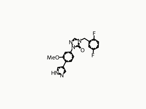 COc1cc(-n2ncn(Cc3cc(F)ccc3F)c2=O)ccc1-c1cn[nH]c1